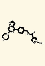 CC(C)(C)n1cc(C(=O)NCc2ccc(-c3nc(N4CCOCC4)cn4nccc34)cc2)cn1